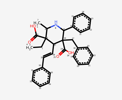 CCC1(C(=O)O)C(C)NC(c2ccccc2)C(Cc2ccccc2)(C(=O)O)C1C=Cc1ccccc1